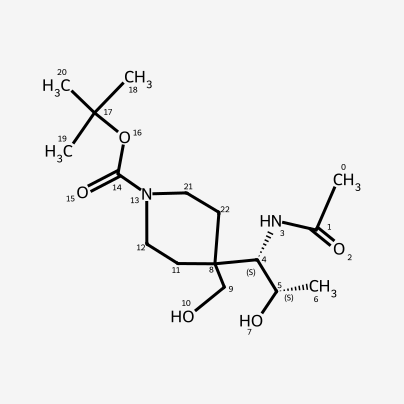 CC(=O)N[C@H]([C@H](C)O)C1(CO)CCN(C(=O)OC(C)(C)C)CC1